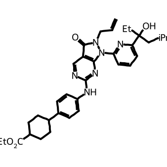 C=CCn1c(=O)c2cnc(Nc3ccc(C4CCC(C(=O)OCC)CC4)cc3)nc2n1-c1cccc(C(O)(CC)CC(C)C)n1